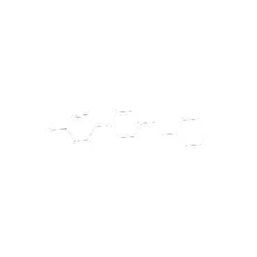 Nc1ccc(N2CCN(CCN3CCOCC3)CC2)nc1